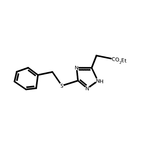 CCOC(=O)Cc1nc(SCc2ccccc2)n[nH]1